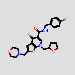 O=C(NCc1ccc(Cl)cc1)c1cn(CC2CCCO2)c2sc(CN3CCOCC3)cc2c1=S